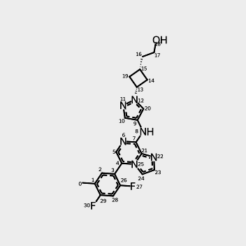 Cc1cc(-c2cnc(Nc3cnn([C@H]4C[C@@H](CCO)C4)c3)c3nccn23)c(F)cc1F